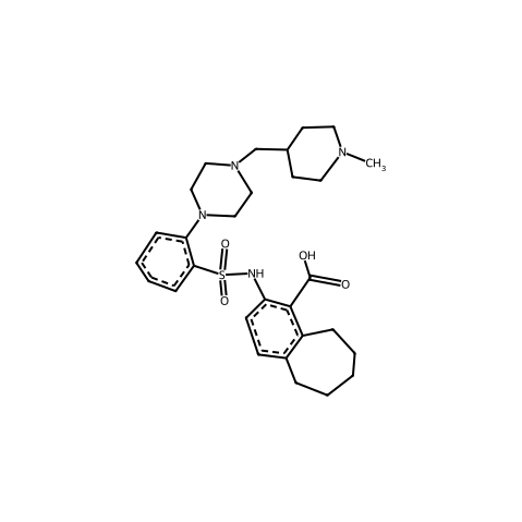 CN1CCC(CN2CCN(c3ccccc3S(=O)(=O)Nc3ccc4c(c3C(=O)O)CCCCC4)CC2)CC1